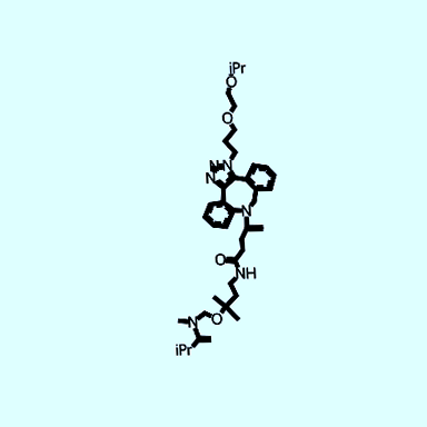 C=C(C(C)C)N(C)COC(C)(C)CCNC(=O)CCC(=C)N1Cc2ccccc2-c2c(nnn2CCCOCCOC(C)C)-c2ccccc21